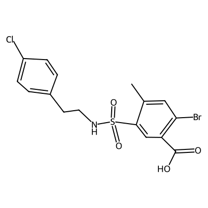 Cc1cc(Br)c(C(=O)O)cc1S(=O)(=O)NCCc1ccc(Cl)cc1